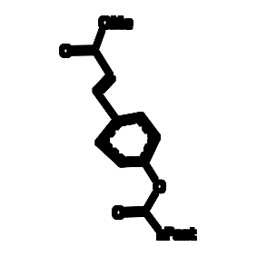 CCCCCC(=O)Oc1ccc(/C=C/C(=O)OC)cc1